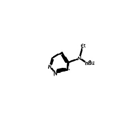 CCCCN(CC)c1[c]nncc1